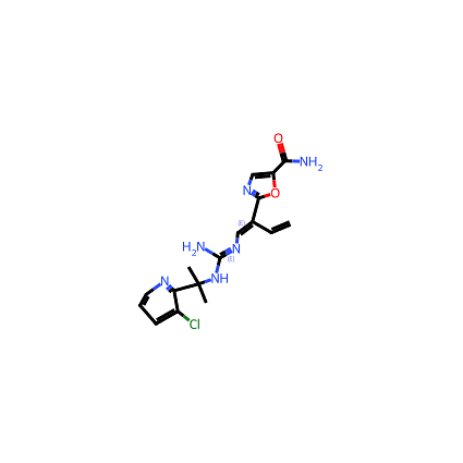 C=C/C(=C\N=C(/N)NC(C)(C)c1ncccc1Cl)c1ncc(C(N)=O)o1